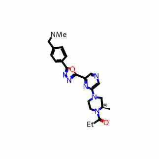 CCC(=O)N1CCN(c2cncc(-c3nnc(-c4ccc(CNC)cc4)o3)n2)C[C@H]1C